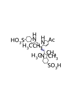 CC(=O)C1C=CC(C(/C=C/C2N(C)C3CCC(S(=O)(=O)O)CC3C2(C)C)CCC2NC3CCC(S(=O)(=O)O)CC3C2(C)C)NC1